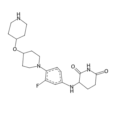 O=C1CCC(Nc2ccc(N3CCC(OC4CCNCC4)CC3)c(F)c2)C(=O)N1